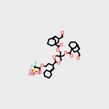 O=CC1C=C2CCCC(C(=O)OCC3(COC(=O)C45CCCC(=CC(C=O)C4)C5)COC(C(C=C4CCCCC4)CCOC(=O)C(F)(F)S(=O)(=O)O)OC3)(C2)C1